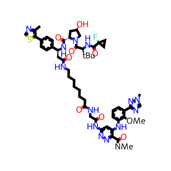 CNC(=O)c1nnc(NC(=O)CNC(=O)CCCCCCCNC(=O)C[C@H](NC(=O)[C@@H]2C[C@@H](O)CN2C(=O)[C@@H](NC(=O)C2(F)CC2)C(C)(C)C)c2ccc(-c3scnc3C)cc2)cc1Nc1cccc(-c2ncn(C)n2)c1OC